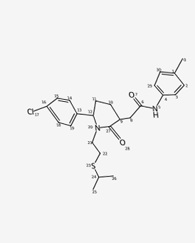 Cc1ccc(NC(=O)CC2CCC(c3ccc(Cl)cc3)N(CCSC(C)C)C2=O)cc1